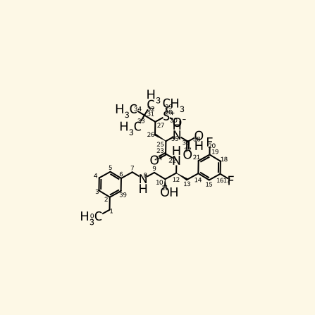 CCc1cccc(CNC[C@H](O)[C@H](Cc2cc(F)cc(F)c2)NC(=O)[C@@H](CC([S+](C)[O-])C(C)(C)C)NC(=O)O)c1